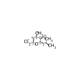 C=C/C=C1/OC(CCl)=CC(=C)/C1=C/C